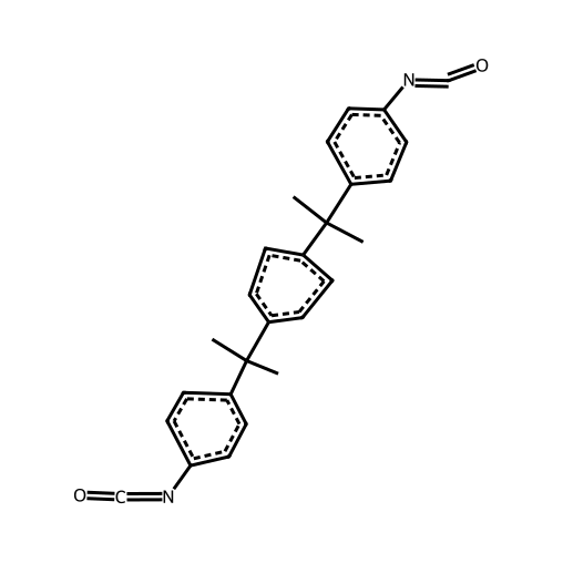 CC(C)(c1ccc(N=C=O)cc1)c1ccc(C(C)(C)c2ccc(N=C=O)cc2)cc1